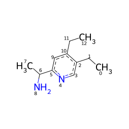 CCc1cnc(C(C)N)cc1CC